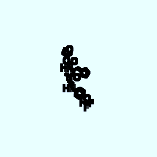 CN(CCNc1ccc(OC(F)(F)F)cc1)C(=O)[C@H](CC1CCCC1)NC(=O)O[C@H]1CCOC1